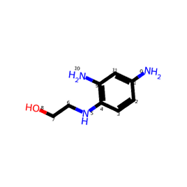 Nc1ccc(NCCO)c(N)c1